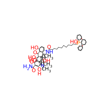 C[C@H]1c2c(NC(=O)CCCCCCCCCCCP(O)(c3ccccc3)(c3ccccc3)c3ccccc3)ccc(O)c2C(=O)C2=C(O)[C@]3(O)C(=O)C(C(N)=O)=C(O)[C@@H](N(C)C)[C@@H]3[C@@H](O)[C@@H]21